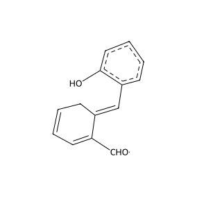 O=[C]C1=CC=CCC1=Cc1ccccc1O